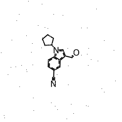 N#Cc1ccc2c(c1)c(C=O)cn2C1CCCC1